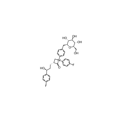 O=C1[C@H](CC[C@H](O)c2ccc(F)cc2)C[N+]1(c1ccc(F)cc1)c1ccc(C[C@@H]2O[C@H](CO)[C@@H](O)[C@H](O)[C@H]2O)cc1